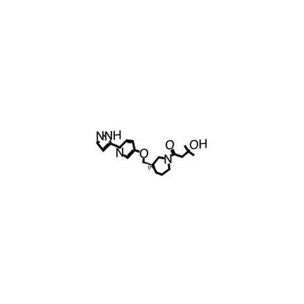 CC(C)(O)CC(=O)N1CCC[C@@H](COc2ccc(-c3ccn[nH]3)nc2)C1